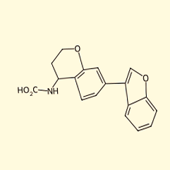 O=C(O)NC1CCOc2cc(-c3coc4ccccc34)ccc21